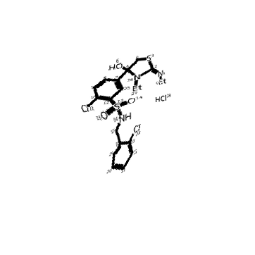 CCN=C1SCC(O)(c2ccc(Cl)c(S(=O)(=O)NCc3ccccc3Cl)c2)N1CC.Cl